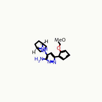 COCOc1ccccc1-c1cc(N2C[C@H]3CC[C@@H](C2)N3)c(N)nn1